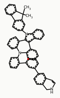 CC1(C)c2ccccc2-c2ccc(-n3c4c(c5ccccc53)-c3ccccc3N(c3ccccc3-c3cccc(-c5ccc6c(c5)C=CNC6)c3)c3ccccc3-4)cc21